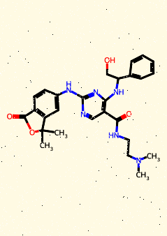 CN(C)CCNC(=O)c1cnc(Nc2ccc3c(c2)C(C)(C)OC3=O)nc1NC(CO)c1ccccc1